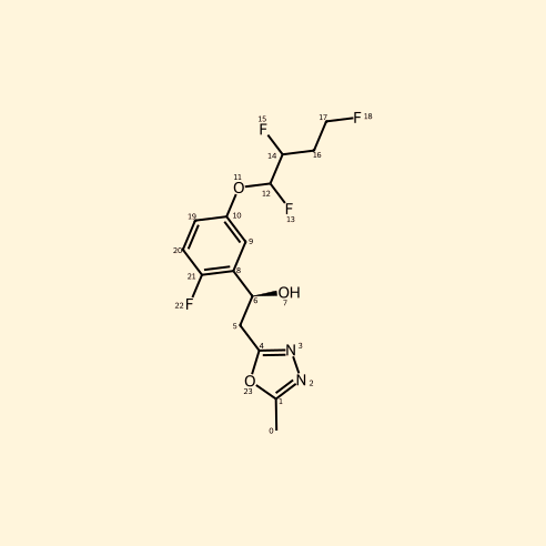 Cc1nnc(C[C@H](O)c2cc(OC(F)C(F)CCF)ccc2F)o1